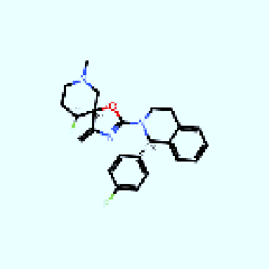 C=C1N=C(N2CCc3ccccc3[C@@H]2c2ccc(F)cc2)O[C@]12CN(C)CC[C@@H]2F